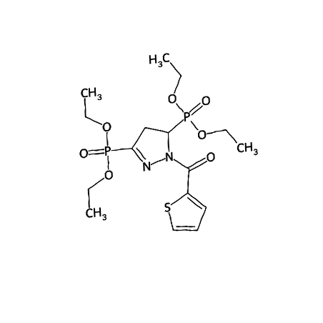 CCOP(=O)(OCC)C1=NN(C(=O)c2cccs2)C(P(=O)(OCC)OCC)C1